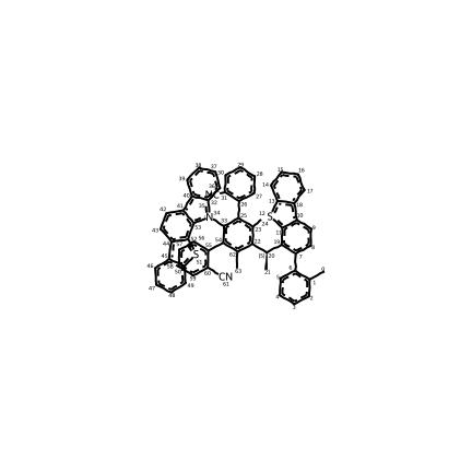 Cc1ccccc1-c1ccc2c(sc3ccccc32)c1[C@@H](C)c1c(C)c(-c2ccccc2C#N)c(-n2c3ccccc3c3ccc4c5ccccc5sc4c32)c(-c2ccccc2C#N)c1C